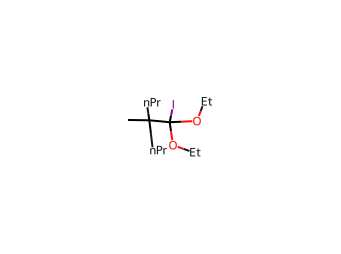 CCCC(C)(CCC)C(I)(OCC)OCC